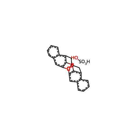 O=S(=O)(O)O.c1ccc2c3c(Oc4c5cc6ccccc6c4CCO5)c(cc2c1)OCC3